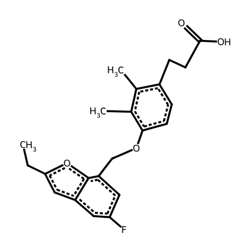 CCc1cc2cc(F)cc(COc3ccc(CCC(=O)O)c(C)c3C)c2o1